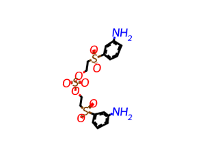 Nc1cccc(S(=O)(=O)CCOS(=O)(=O)OCCS(=O)(=O)c2cccc(N)c2)c1